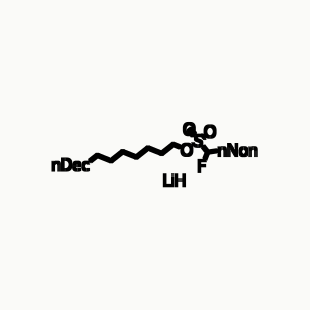 CCCCCCCCCCCCCCCCCOS(=O)(=O)C(F)CCCCCCCCC.[LiH]